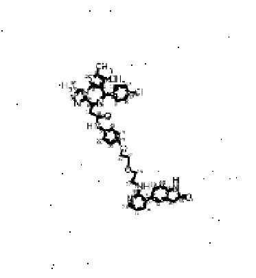 Cc1sc2c(c1C)C(c1ccc(Cl)cc1)=NC(CC(=O)Nc1ccc(OCCOCCNc3ncccc3-c3ccc4c(c3)CC(=O)N4)cc1)c1nnc(C)n1-2